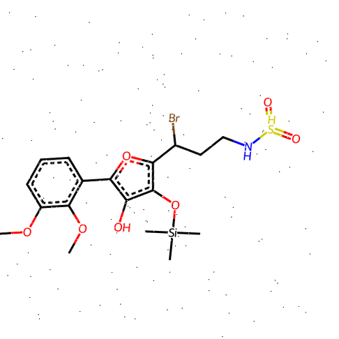 COc1cccc(-c2oc(C(Br)CCN[SH](=O)=O)c(O[Si](C)(C)C)c2O)c1OC